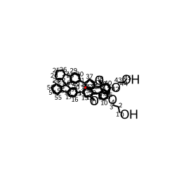 OCCCOc1ccc2c(c1)oc1cc(-c3ccc4c(c3)C3(C5=CC=CCC5c5ccc(-c6ccc7c(c6)oc6cc(OCCO)ccc67)cc53)c3ccccc3-4)ccc12